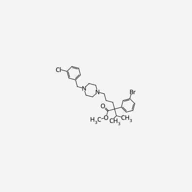 COC(=O)C(CCCN1CCN(Cc2cccc(Cl)c2)CC1)(c1cccc(Br)c1)C(C)C